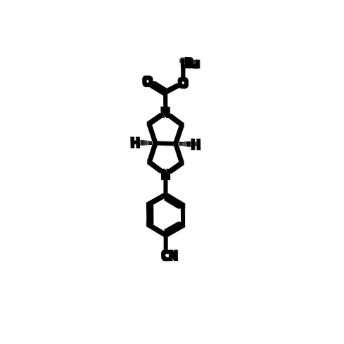 CC(C)(C)OC(=O)N1C[C@@H]2CN(c3ccc(C#N)cc3)C[C@@H]2C1